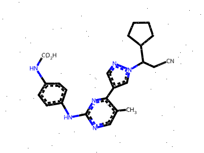 Cc1cnc(Nc2ccc(NC(=O)O)cc2)nc1-c1cnn(C(CC#N)C2CCCC2)c1